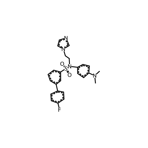 CN(C)c1ccc(N(CCn2ccnc2)S(=O)(=O)c2cccc(-c3ccc(F)cc3)c2)cc1